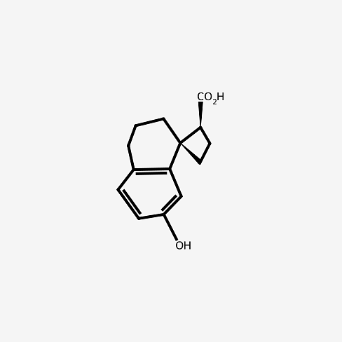 O=C(O)[C@H]1CC[C@@]12CCCc1ccc(O)cc12